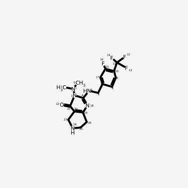 CN(C)n1c(NCc2ccc(C(F)(F)F)c(F)c2)nc2c(c1=O)CNCC2